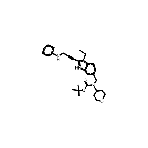 CCc1c(C#CCNc2ccccc2)[nH]c2cc(CN(C(=O)OC(C)(C)C)C3CCOCC3)ccc12